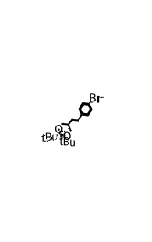 CC(C)(C)[Si]1(C(C)(C)C)OCC(CCc2ccc(Br)cc2)CO1